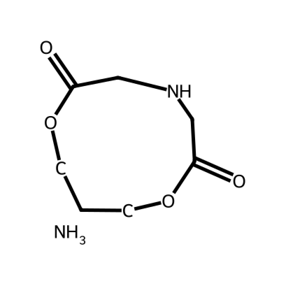 N.O=C1CNCC(=O)OCCCO1